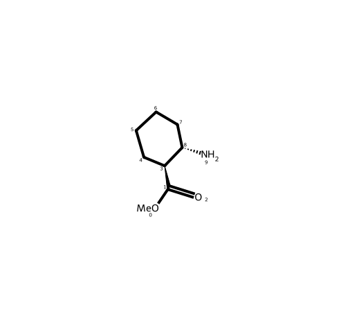 COC(=O)[C@H]1CCCC[C@@H]1N